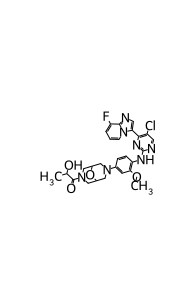 COc1cc(N2CC3CN(C(=O)C(C)O)CC(C2)O3)ccc1Nc1ncc(Cl)c(-c2cnc3c(F)cccn23)n1